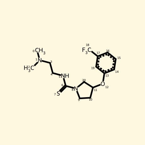 CN(C)CCNC(=S)N1CCC(Oc2cccc(C(F)(F)F)c2)C1